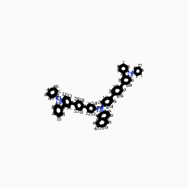 c1ccc(-n2c3ccccc3c3cc(-c4ccc(-c5ccc(N(c6ccc(-c7ccc(-c8ccc9c(c8)c8ccccc8n9-c8ccccc8)cc7)cc6)c6ccc7ccccc7c6)cc5)cc4)ccc32)cc1